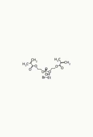 C=C(C)C(=O)OCCOP(=O)(O)OCCOC(=O)C(=C)C.CCBr